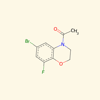 CC(=O)N1CCOc2c(F)cc(Br)cc21